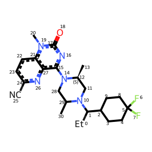 CCC(C1CCC(F)(F)CC1)N1C[C@H](C)N(c2nc(=O)n(C)c3ccc(C#N)nc23)CC1C